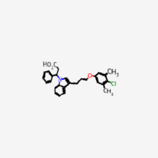 Cc1cc(OCCCc2cn(C(CC(=O)O)c3ccccc3)c3ccccc23)cc(C)c1Cl